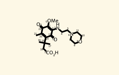 COC1=C(NCCN2CCOCC2)C(=O)C(C(C)(C)CC(=O)O)=C(C)C1=O